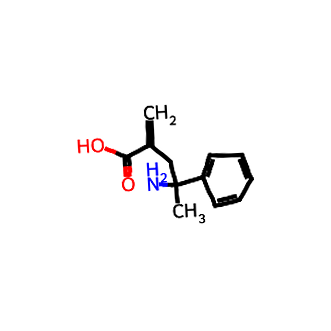 C=C(CC(C)(N)c1ccccc1)C(=O)O